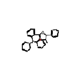 CC1N=C(c2ccccc2P(c2ccccc2)c2ccccc2)OC1c1ccccc1